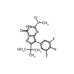 C[S+]([O-])c1nc2c(-c3cc(F)c(F)c(F)c3)c(C(C)(C)C(=O)O)nn2c(=O)[nH]1